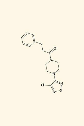 O=C(CCc1ccccc1)N1CCN(c2nsnc2Cl)CC1